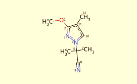 COc1nn(C(C)(C)C#N)cc1C